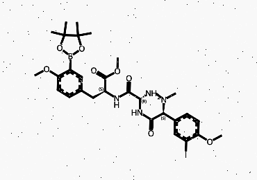 COC(=O)[C@H](Cc1ccc(OC)c(B2OC(C)(C)C(C)(C)O2)c1)NC(=O)[C@H](N)NC(=O)[C@H](c1ccc(OC)c(I)c1)N(C)C